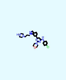 Clc1ccc(Nc2cc(-c3ccc4cnn(CCCN5CCNCC5)c4c3)nc(N3CCOCC3)n2)cc1